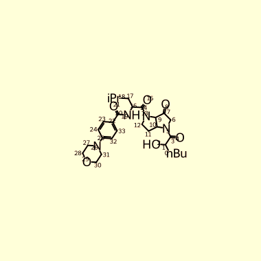 CCCCC(O)C(=O)N1CC(=O)C2C1CCN2C(=O)C(CC(C)C)NC(=O)c1ccc(N2CCOCC2)cc1